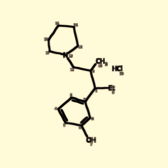 CCC(c1cccc(O)c1)C(C)CN1CCCCC1.Cl